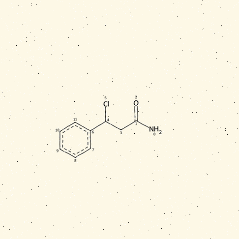 NC(=O)CC(Cl)c1ccccc1